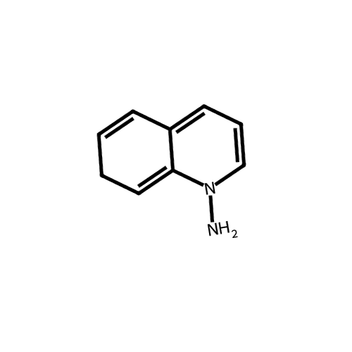 NN1C=CC=C2C=CCC=C21